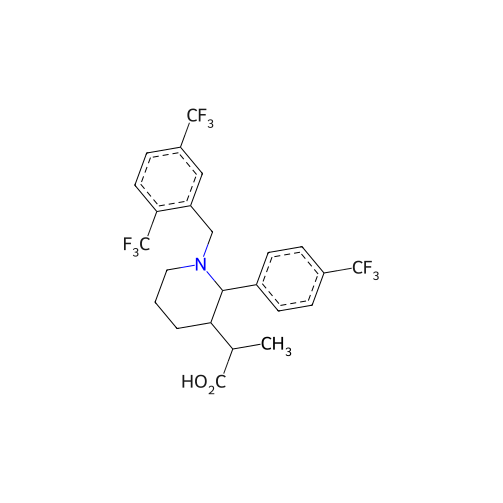 CC(C(=O)O)C1CCCN(Cc2cc(C(F)(F)F)ccc2C(F)(F)F)C1c1ccc(C(F)(F)F)cc1